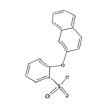 O=S(=O)(Cl)c1ccccc1Oc1ccc2ccccc2c1